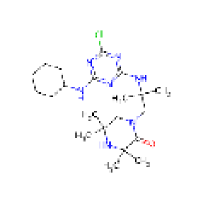 CC(C)(CN1CC(C)(C)NC(C)(C)C1=O)Nc1nc(Cl)nc(NC2CCCCC2)n1